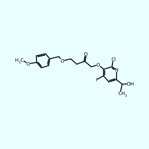 COc1ccc(COCCC(=O)COc2c(I)cc(C(C)O)nc2Cl)cc1